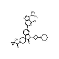 CC(C)n1cnc2cc(-c3ccc4c(c3)N(C3CC(N5CCCCC5)C3)C(=O)C43CCN(C(=O)C4(O)CC4)CC3)nc(Cl)c21